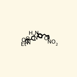 CCn1nc(C2CCN(c3ccc(Cc4ccc([N+](=O)[O-])o4)cc3N)CC2)oc1=O